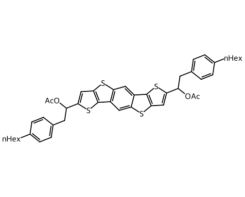 CCCCCCc1ccc(CC(OC(C)=O)c2cc3sc4cc5c(cc4c3s2)sc2cc(C(Cc3ccc(CCCCCC)cc3)OC(C)=O)sc25)cc1